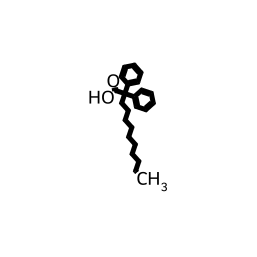 CCCCCCCCCCC(C(=O)O)(c1ccccc1)c1ccccc1